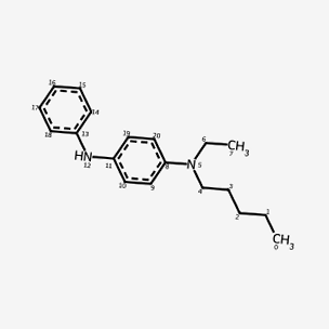 CCCCCN(CC)c1ccc(Nc2ccccc2)cc1